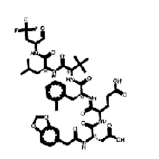 Cc1ccccc1C[C@H](NC(=O)C(CCC(=O)O)NC(=O)[C@H](CC(=O)O)NC(=O)Cc1ccc2c(c1)OCO2)C(=O)N[C@H](C(=O)N[C@@H](CC(C)C)C(=O)NC(C=O)CC(F)(F)F)C(C)(C)C